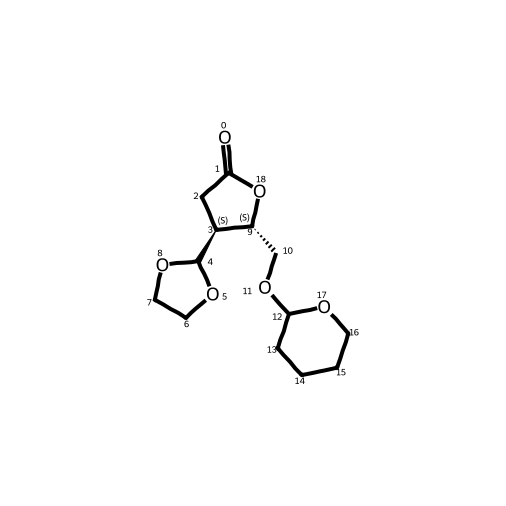 O=C1C[C@H](C2OCCO2)[C@@H](COC2CCCCO2)O1